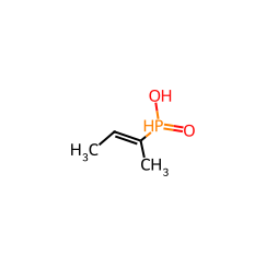 C/C=C(\C)[PH](=O)O